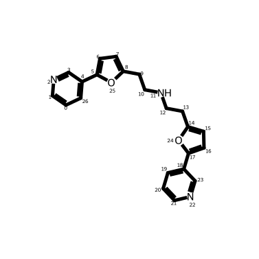 c1cncc(-c2ccc(CCNCCc3ccc(-c4cccnc4)o3)o2)c1